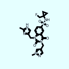 Cc1nc(Cn2c(=O)n(Cc3cnn(C)c3)c(=O)c3cc(S(=O)(=O)NC4(CF)CC4)ccc32)c[nH]1